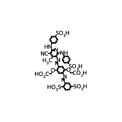 Cc1c(C#N)c(Nc2ccc(S(=O)(=O)O)cc2)nc(Nc2ccc(S(=O)(=O)O)cc2)c1/N=N/c1cc(OCC(=O)O)c(/N=N/c2cc(S(=O)(=O)O)ccc2S(=O)(=O)O)cc1OCC(=O)O